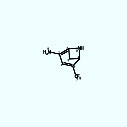 NC1=C2CC(N2)C(C(F)(F)F)=C1